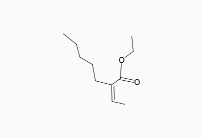 CC=C(CCCCC)C(=O)OCC